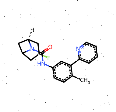 Cc1ccc(NC(=O)N2C3C[C@H](F)C[C@@H]2C3)cc1-c1ccccn1